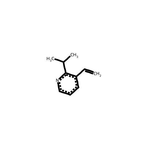 C=Cc1cccnc1C(C)C